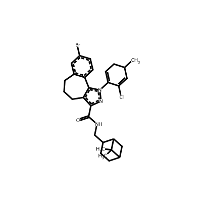 CC1C=C(Cl)C(n2nc(C(=O)NCC3CCC4CC3C4(C)C)c3c2-c2ccc(Br)cc2CCC3)=CC1